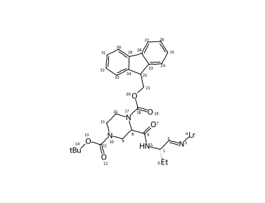 CC[C@@H](/C=[N]/[Lr])NC(=O)C1CN(C(=O)OC(C)(C)C)CCN1C(=O)OCC1c2ccccc2-c2ccccc21